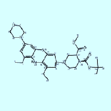 CCc1cc(N2CCOCC2)cc2c1Nc1c(CC)cc(N3CCN(C(=O)OC(C)(C)C)C(C(=O)OC)C3)cc1S2